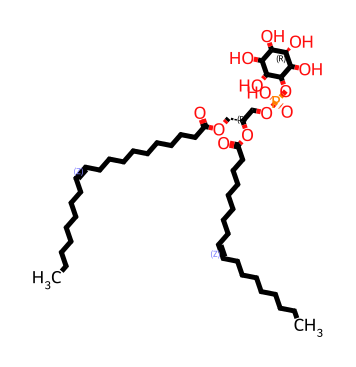 CCCCCCCC/C=C\CCCCCCCCCC(=O)OC[C@H](COP(=O)(O)OC1C(O)C(O)C(O)[C@@H](O)C1O)OC(=O)CCCCCCC/C=C\CCCCCCCC